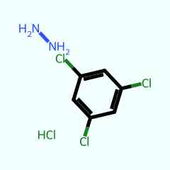 Cl.Clc1cc(Cl)cc(Cl)c1.NN